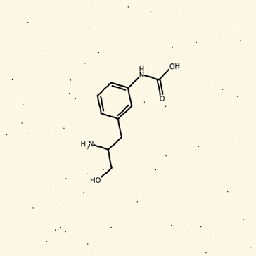 NC(CO)Cc1cccc(NC(=O)O)c1